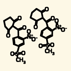 CS(=O)(=O)c1ccc(C(=O)C2C(=O)CCCC2=O)c([N+](=O)[O-])c1.CS(=O)(=O)c1ccc(C(=O)C2C(=O)CCCC2=O)c([N+](=O)[O-])c1